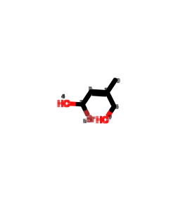 CC(=CC(O)Br)CO